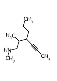 CC#CC(CCC)C(C)CNC